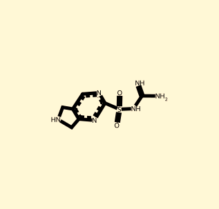 N=C(N)NS(=O)(=O)c1ncc2c(n1)CNC2